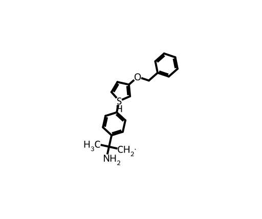 [CH2]C(C)(N)c1ccc([SH]2C=CC(OCc3ccccc3)=C2)cc1